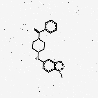 Cn1ncc2cc(NC3CCN(C(=O)c4ccccc4)CC3)ccc21